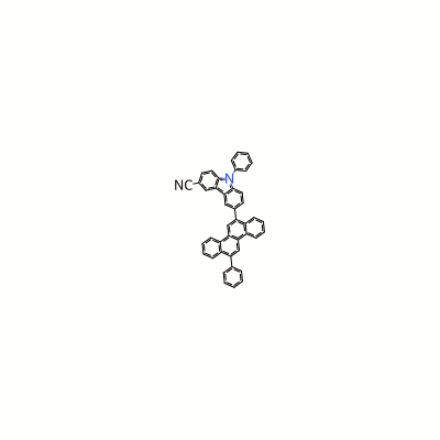 N#Cc1ccc2c(c1)c1cc(-c3cc4c5ccccc5c(-c5ccccc5)cc4c4ccccc34)ccc1n2-c1ccccc1